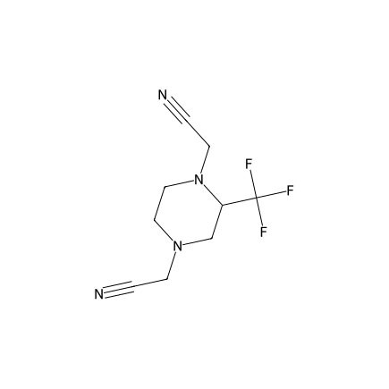 N#CCN1CCN(CC#N)C(C(F)(F)F)C1